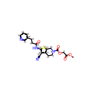 COC(=O)COC(=O)N1CCc2c(sc(NC(=O)CCc3cccnc3)c2C#N)C1